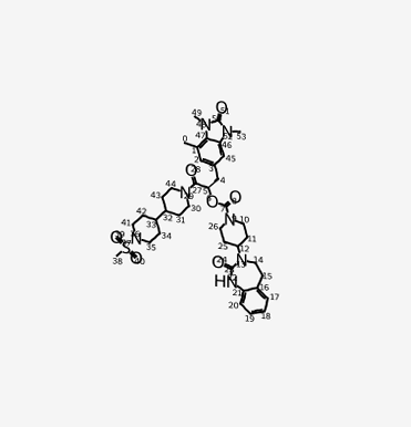 Cc1cc(C[C@@H](OC(=O)N2CCC(N3CCc4ccccc4NC3=O)CC2)C(=O)N2CCC(C3CCN(S(C)(=O)=O)CC3)CC2)cc2c1n(C)c(=O)n2C